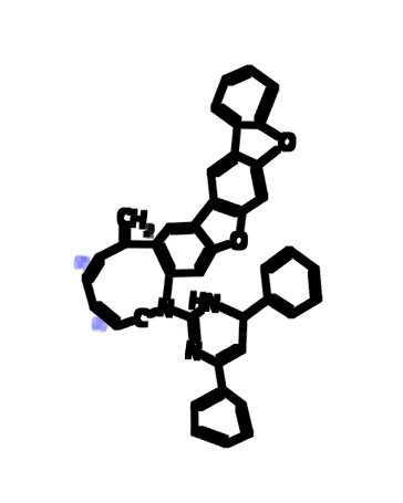 C=C1/C=C\C=C/CN(C2=NC(c3ccccc3)=CC(c3ccccc3)N2)c2cc3oc4cc5oc6ccccc6c5cc4c3cc21